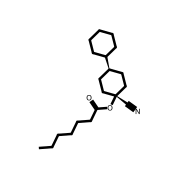 CCCCCCC(=O)O[C@]1(C#N)CC[C@@H](C2CCCCC2)CC1